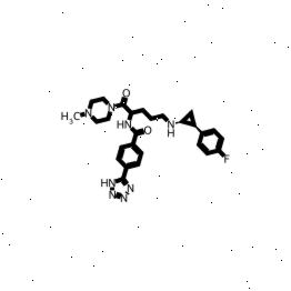 CN1CCN(C(=O)C(CCCN[C@@H]2C[C@H]2c2ccc(F)cc2)NC(=O)c2ccc(-c3nnn[nH]3)cc2)CC1